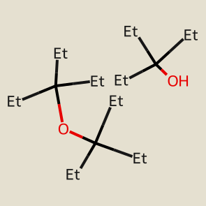 CCC(CC)(CC)OC(CC)(CC)CC.CCC(O)(CC)CC